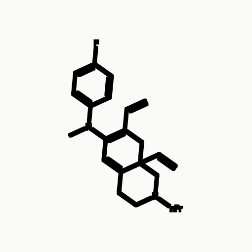 C=CC1=C(N(C)c2ccc(F)cc2)C=C2CCN(CCC)CC2(C=C)C1